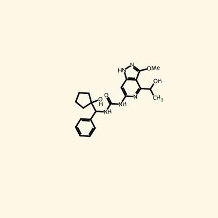 COc1n[nH]c2cc(NC(=O)NC(c3ccccc3)C3(O)CCCC3)nc(C(C)O)c12